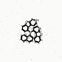 C1=Cc2c(oc3cccc(N(c4cccc5ccccc45)c4ccnc5oc6ccccc6c45)c23)CN1